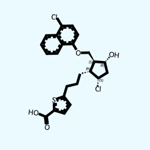 O=C(O)c1ccc(CCC[C@@H]2[C@@H](COc3ccc(Cl)c4ccccc34)[C@H](O)C[C@@H]2Cl)s1